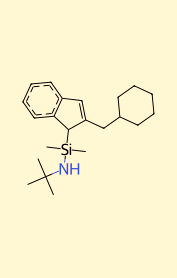 CC(C)(C)N[Si](C)(C)C1C(CC2CCCCC2)=Cc2ccccc21